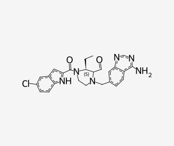 CC[C@H]1C(C=O)N(Cc2ccc3c(N)ncnc3c2)CCN1C(=O)c1cc2cc(Cl)ccc2[nH]1